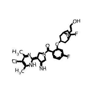 CC1=N/C(=C2\CN(C(=O)c3ccc(F)cc3OC3CC4CC(F)C(C3)N4CCO)CC2=N)NC(C)=C1Cl